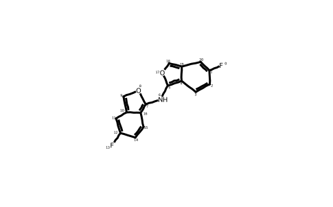 Fc1ccc2c(Nc3occ4cc(F)ccc34)occ2c1